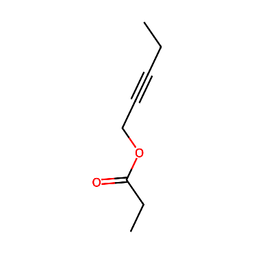 CCC#CCOC(=O)CC